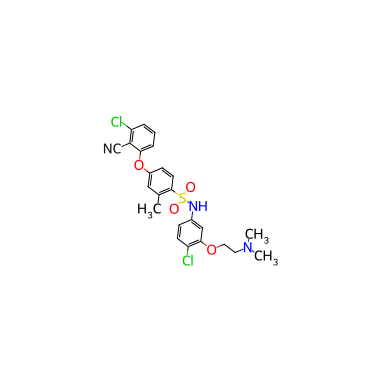 Cc1cc(Oc2cccc(Cl)c2C#N)ccc1S(=O)(=O)Nc1ccc(Cl)c(OCCN(C)C)c1